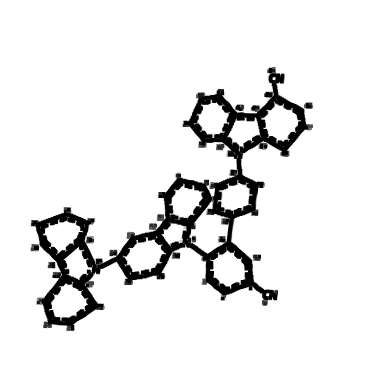 N#Cc1ccc(-n2c3ccccc3c3cc(-n4c5ccccc5c5ccccc54)ccc32)c(-c2ccc(-n3c4ccccc4c4c(C#N)cccc43)cc2)c1